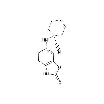 N#CC1(Nc2ccc3[nH]c(=O)oc3c2)CCCCC1